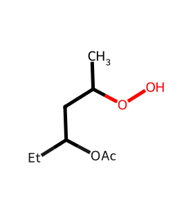 CCC(CC(C)OO)OC(C)=O